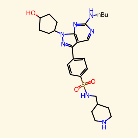 CCCCNc1ncc2c(-c3ccc(S(=O)(=O)NCC4CCNCC4)cc3)nn(C3CCC(O)CC3)c2n1